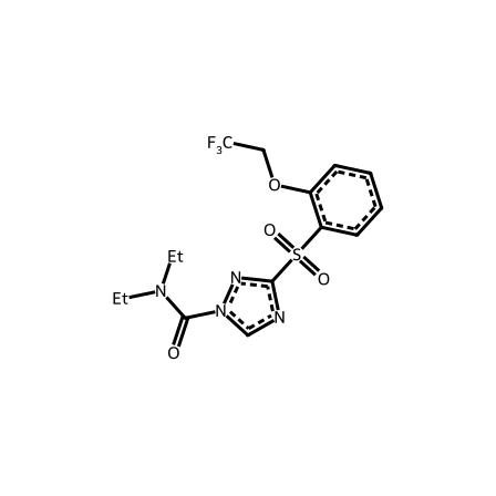 CCN(CC)C(=O)n1cnc(S(=O)(=O)c2ccccc2OCC(F)(F)F)n1